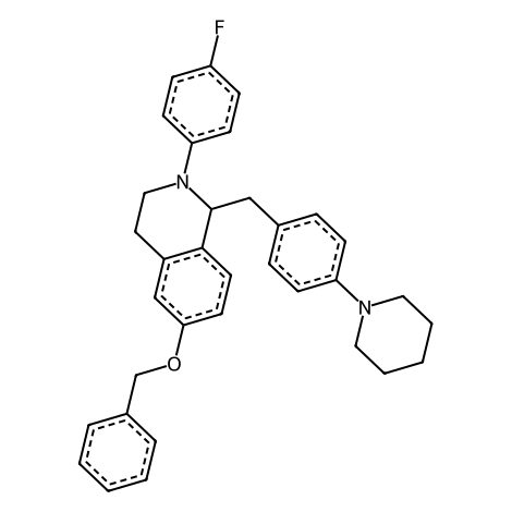 Fc1ccc(N2CCc3cc(OCc4ccccc4)ccc3C2Cc2ccc(N3CCCCC3)cc2)cc1